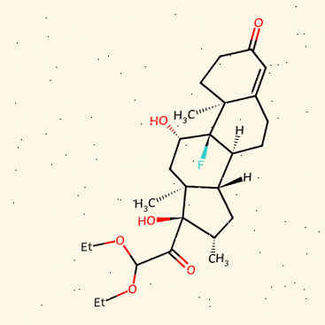 CCOC(OCC)C(=O)[C@@]1(O)[C@@H](C)C[C@H]2[C@@H]3CCC4=CC(=O)CC[C@]4(C)[C@@]3(F)[C@@H](O)C[C@@]21C